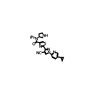 CC(C)N(C(=O)c1csc(-c2nn(-c3ccc(C4CC4)cn3)cc2C#N)n1)[C@H]1CCNC1